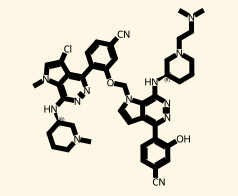 CN(C)CCN1CCC[C@@H](Nc2nnc(-c3ccc(C#N)cc3O)c3ccn(COc4cc(C#N)ccc4-c4nnc(N[C@@H]5CCCN(C)C5)c5c4c(Cl)cn5C)c23)C1